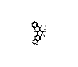 COC(=O)C1C(O)c2ccccc2OC1c1ccc2c(c1)OCO2